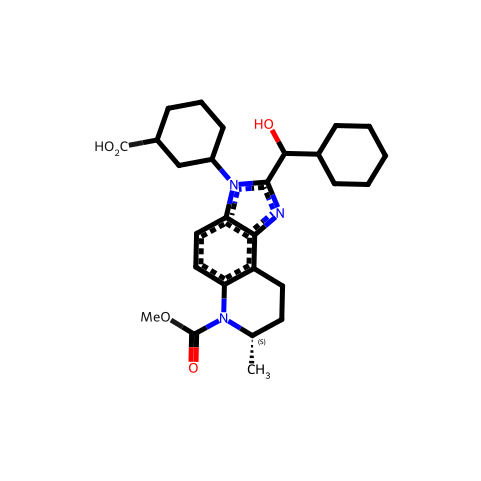 COC(=O)N1c2ccc3c(nc(C(O)C4CCCCC4)n3C3CCCC(C(=O)O)C3)c2CC[C@@H]1C